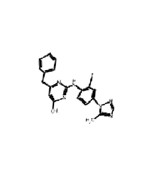 Cc1cc(Cc2ccccc2)nc(Nc2ccc(-n3ncnc3C)cc2F)n1